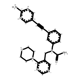 NC(=O)N(Cc1cncnc1N1CCOCC1)c1cccc(C#Cc2cnc(N)nc2)c1